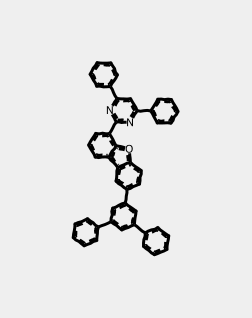 c1ccc(-c2cc(-c3ccccc3)cc(-c3ccc4oc5c(-c6nc(-c7ccccc7)cc(-c7ccccc7)n6)cccc5c4c3)c2)cc1